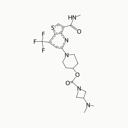 CNC(=O)c1csc2c(C(F)(F)F)cc(N3CCC(OC(=O)N4CC(N(C)C)C4)CC3)nc12